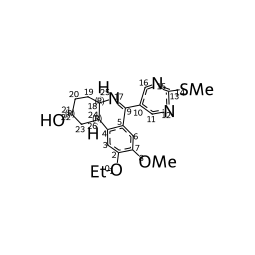 CCOc1cc2c(cc1OC)C(c1cnc(SC)nc1)=N[C@@H]1CC[C@@H](O)C[C@H]21